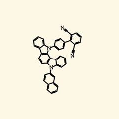 N#Cc1cccc(C#N)c1-c1ccc(-n2c3ccccc3c3ccc4c(c5ccccc5n4-c4ccc5ccccc5c4)c32)cc1